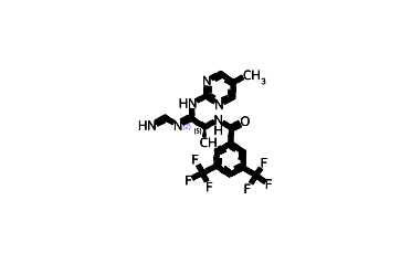 Cc1cnc(N/C(=N\C=N)[C@H](C)NC(=O)c2cc(C(F)(F)F)cc(C(F)(F)F)c2)nc1